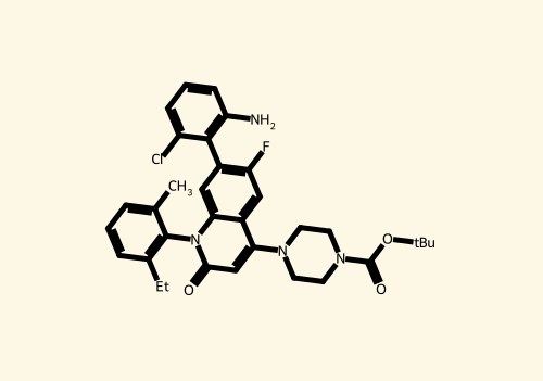 CCc1cccc(C)c1-n1c(=O)cc(N2CCN(C(=O)OC(C)(C)C)CC2)c2cc(F)c(-c3c(N)cccc3Cl)cc21